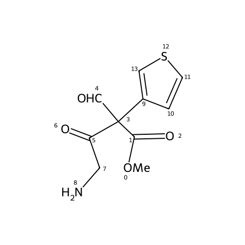 COC(=O)C(C=O)(C(=O)CN)c1ccsc1